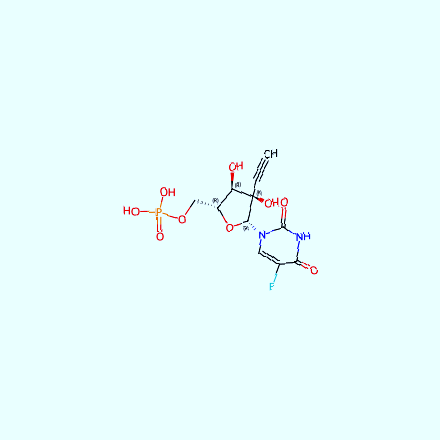 C#C[C@@]1(O)[C@H](O)[C@@H](COP(=O)(O)O)O[C@H]1n1cc(F)c(=O)[nH]c1=O